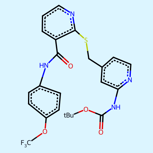 CC(C)(C)OC(=O)Nc1cc(CSc2ncccc2C(=O)Nc2ccc(OC(F)(F)F)cc2)ccn1